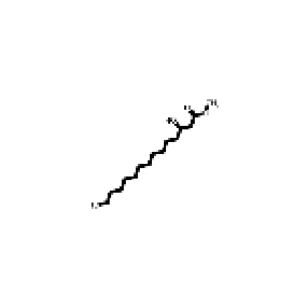 COC(=O)CC(O)CCCCCCCCCCCO